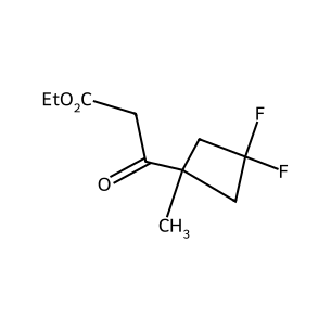 CCOC(=O)CC(=O)C1(C)CC(F)(F)C1